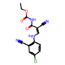 CCOC(=O)NC(=O)C(C#N)=CNc1ccc(Cl)cc1C#N